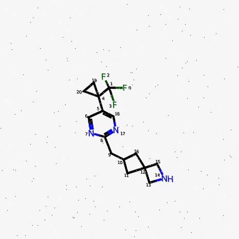 FC(F)(F)C1(c2cnc(CC3CC4(CNC4)C3)nc2)CC1